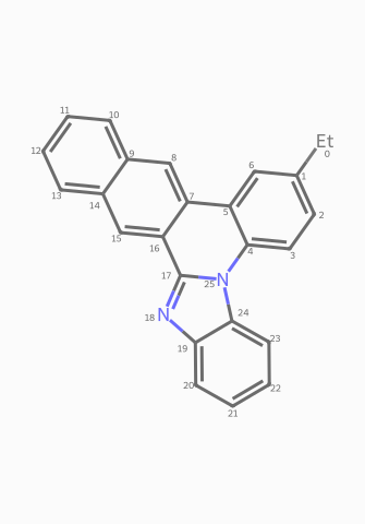 CCc1ccc2c(c1)c1cc3ccccc3cc1c1nc3ccccc3n21